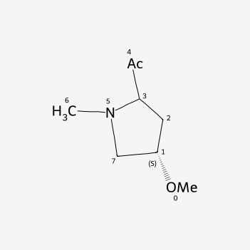 CO[C@H]1CC(C(C)=O)N(C)C1